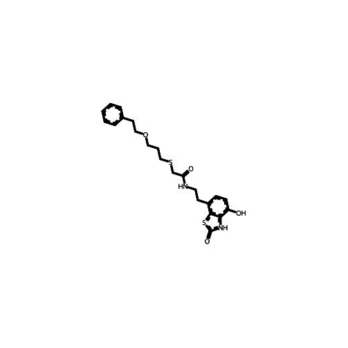 O=C(CSCCCOCCc1ccccc1)NCCc1ccc(O)c2[nH]c(=O)sc12